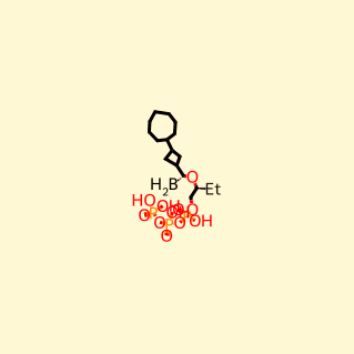 B[C@@H](O[C@@H](CC)COP(=O)(O)OP(=O)(O)OP(=O)(O)O)C1CC(C2CCCCCCC2)C1